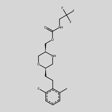 Cc1cccc(F)c1CC[C@@H]1CN[C@H](COC(=O)NCC(F)(F)F)CO1